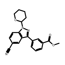 COC(=O)c1cccc(-c2nn(C3CCCCO3)c3ccc(C#N)cc23)c1